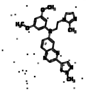 COc1cc(OC)cc(N(CCn2ccnc2C)c2ccc3ncc(-c4cnn(C)c4)nc3c2)c1